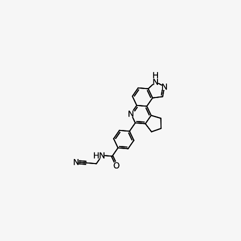 N#CCNC(=O)c1ccc(-c2nc3ccc4[nH]ncc4c3c3c2CCC3)cc1